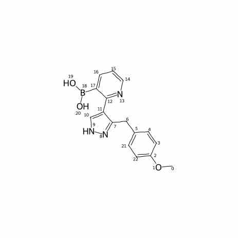 COc1ccc(Cc2n[nH]cc2-c2ncccc2B(O)O)cc1